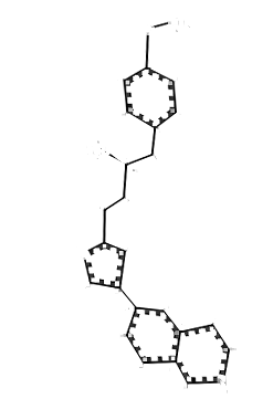 COc1ccc(C[C@H](N)CCc2cc(-c3ccc4cnccc4c3)cs2)cc1